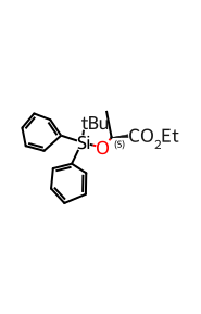 CCOC(=O)[C@H](C)O[Si](c1ccccc1)(c1ccccc1)C(C)(C)C